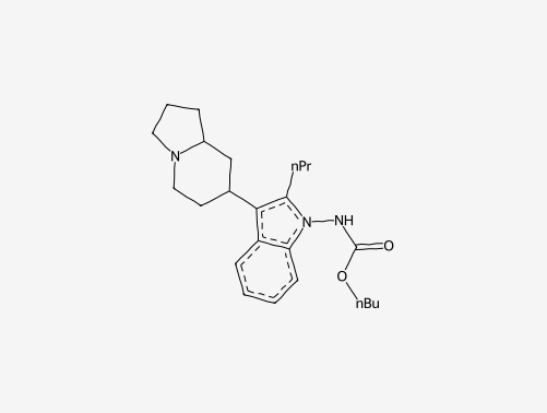 CCCCOC(=O)Nn1c(CCC)c(C2CCN3CCCC3C2)c2ccccc21